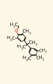 CCOc1c(C)cc(C(C)(C)c2cc(C)c(C)c(C)c2)cc1C